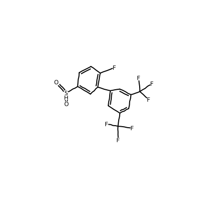 O=[SH](=O)c1ccc(F)c(-c2cc(C(F)(F)F)cc(C(F)(F)F)c2)c1